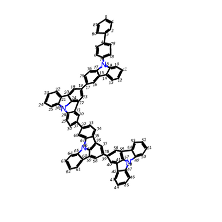 c1ccc(-c2ccc(-n3c4ccccc4c4cc(-c5cc6c7ccccc7n7c8ccc(-c9ccc%10c%11cc(-c%12cc%13c%14ccccc%14n%14c%15ccccc%15c(c%12)c%13%14)cc%12c%13ccccc%13n(c%10c9)c%12%11)cc8c(c5)c67)ccc43)cc2)cc1